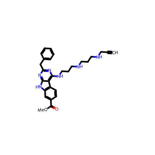 C#CCNCCCNCCCNc1nc(Cc2ccccc2)nc2[nH]c3cc(C(=O)OC)ccc3c12